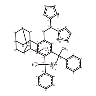 CC(C)(c1ccccc1)c1cc(CP(c2ccc[nH]2)c2ccc[nH]2)c(C23CC4CC(CC(C4)C2CP)C3)cc1C(C)(C)c1ccccc1